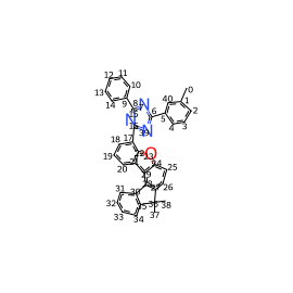 Cc1cccc(-c2nc(-c3ccccc3)nc(-c3cccc4c3oc3ccc5c(c34)-c3ccccc3C5(C)C)n2)c1